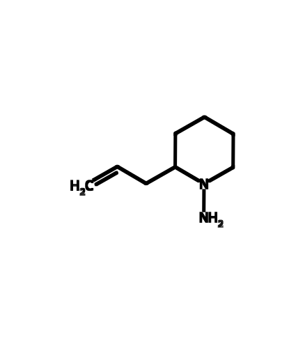 C=CCC1CCCCN1N